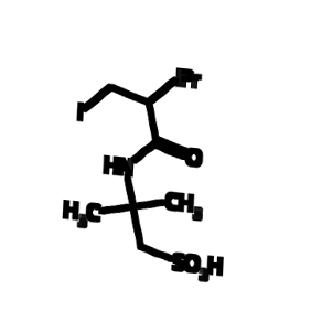 CC(C)C(CI)C(=O)NC(C)(C)CS(=O)(=O)O